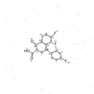 O=C(O)c1cn(-c2ccc(F)cc2F)c2cc(F)ccc2c1=O